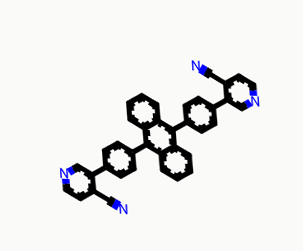 N#Cc1ccncc1-c1ccc(-c2c3ccccc3c(-c3ccc(-c4cnccc4C#N)cc3)c3ccccc23)cc1